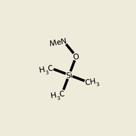 CNO[Si](C)(C)C